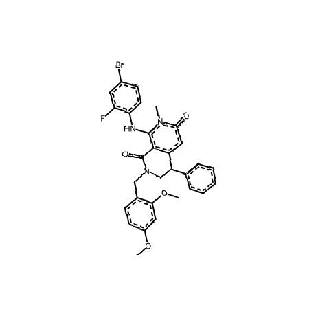 COc1ccc(CN2CC(c3ccccc3)c3cc(=O)n(C)c(Nc4ccc(Br)cc4F)c3C2=O)c(OC)c1